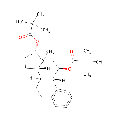 CC(C)(C)C(=O)O[C@H]1CC[C@H]2[C@@H]3CCc4ccccc4[C@H]3[C@H](OC(=O)C(C)(C)C)C[C@]12C